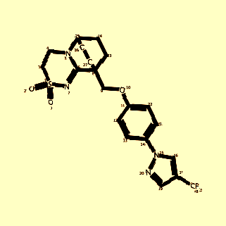 O=S1(=O)CCN2C(=N1)C1(COc3ccc(-n4cc(C(F)(F)F)cn4)cc3)CCC2CC1